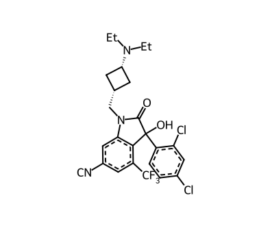 [C-]#[N+]c1cc2c(c(C(F)(F)F)c1)C(O)(c1ccc(Cl)cc1Cl)C(=O)N2C[C@H]1C[C@@H](N(CC)CC)C1